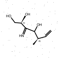 C=C[C@@H](C)C(O)C(=N)[C@H](O)CO